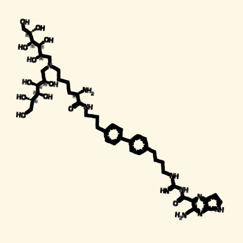 N=C(NCCCCc1ccc(-c2ccc(CCCNC(=O)[C@H](N)CCCCN(C[C@@H](O)[C@H](O)[C@@H](O)[C@@H](O)CO)C[C@@H](O)[C@H](O)[C@@H](O)[C@@H](O)CO)cc2)cc1)NC(=O)c1nc2cc[nH]c2nc1N